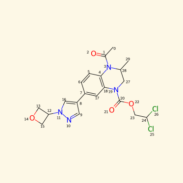 CC(=O)N1c2ccc(-c3cnn(C4COC4)c3)cc2N(C(=O)OCC(Cl)Cl)CC1C